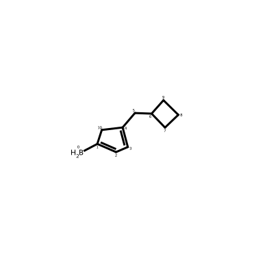 BC1=CC=C(CC2CCC2)C1